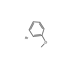 COc1ccccc1.[Ar]